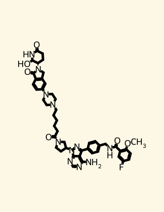 COc1ccc(F)cc1C(=O)NCc1ccc(-c2nn(C3CCN(C(=O)CCCCCN4CCN(c5ccc6c(c5)CN([C@H]5CCC(=O)NC5O)C6=O)CC4)C3)c3ncnc(N)c23)cc1